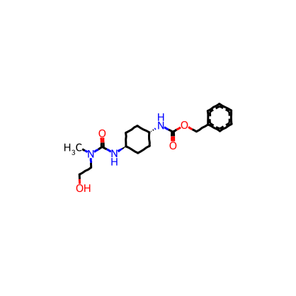 CN(CCO)C(=O)N[C@H]1CC[C@H](NC(=O)OCc2ccccc2)CC1